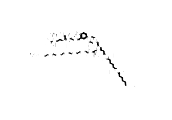 CCCCCCCCCCCCCCCC(=O)NCCCCCC(=O)NCCCC[C@H](NC(=O)[C@@H](NC(=O)COCCOCCOCCOCCOCCOC)[C@@H](C)CC)C(=O)N1CCN(c2ccc3ncn(CC(=O)N[C@@H](CCCNC(=N)N)C(=O)NC)c(=O)c3c2)CC1